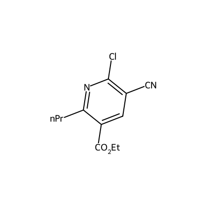 CCCc1nc(Cl)c(C#N)cc1C(=O)OCC